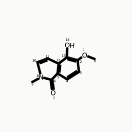 COc1ccc2c(=O)n(C)ccc2c1O